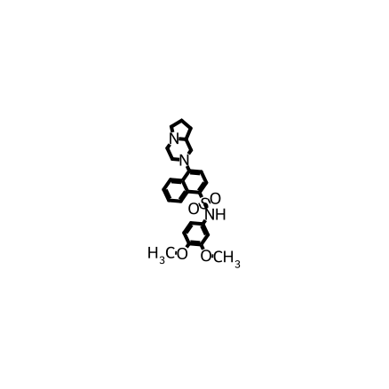 COc1ccc(NS(=O)(=O)c2ccc(N3CCN4CCCC4C3)c3ccccc23)cc1OC